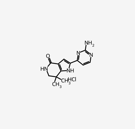 CC1(C)CNC(=O)c2cc(-c3ccnc(N)n3)[nH]c21.Cl